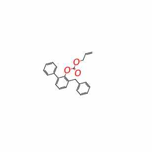 C=CCOC(=O)Oc1c(Cc2ccccc2)cccc1-c1ccccc1